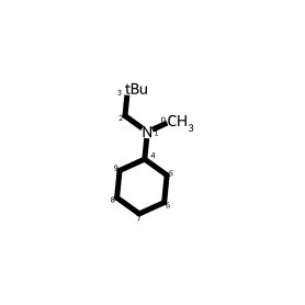 CN(CC(C)(C)C)C1CCCCC1